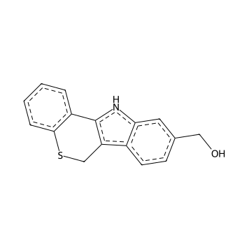 OCc1ccc2c3c([nH]c2c1)-c1ccccc1SC3